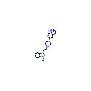 c1ccc2c(c1)NCC2CCN1CCC(c2ccc3[nH]ccc3c2)CC1